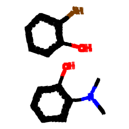 CN(C)c1ccccc1O.Oc1ccccc1S